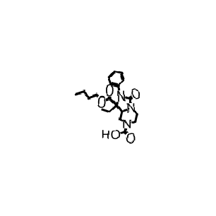 CCCCOC(=O)C1(CC)C2CN(C(=O)O)CCN2C(=O)N1c1ccccc1